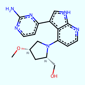 CO[C@H]1C[C@@H](CO)N(c2ccnc3[nH]cc(-c4ccnc(N)n4)c23)C1